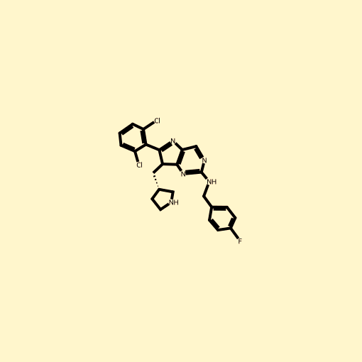 Fc1ccc(CNc2ncc3c(n2)C(C[C@H]2CCNC2)C(c2c(Cl)cccc2Cl)=N3)cc1